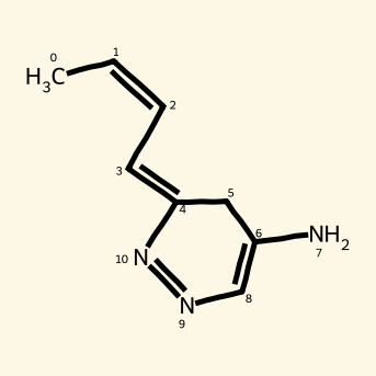 C/C=C\C=C1/CC(N)=CN=N1